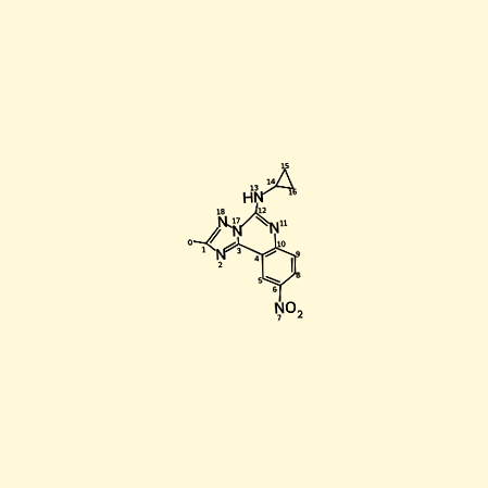 Cc1nc2c3cc([N+](=O)[O-])ccc3nc(NC3CC3)n2n1